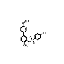 COc1ccc(-c2ccc(C)c(NS(=O)(=O)c3ccc(O)cc3)c2)nc1